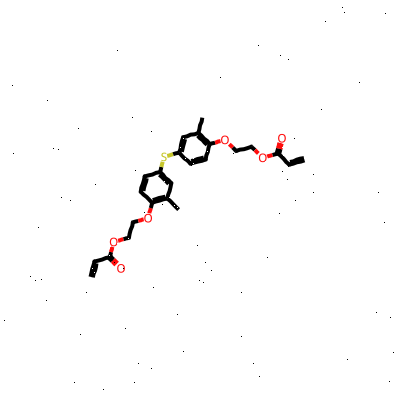 C=CC(=O)OCCOc1ccc(Sc2ccc(OCCOC(=O)C=C)c(C)c2)cc1C